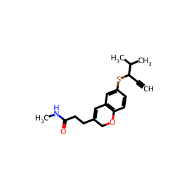 C#CC(Sc1ccc2c(c1)C=C(CCC(=O)NC)CO2)C(C)C